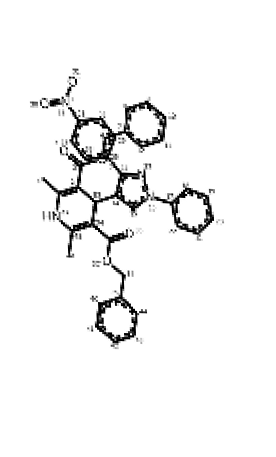 CC1=C(C(=O)OCc2ccccc2)C(c2cn(-c3ccccc3)nc2-c2ccc([N+](=O)[O-])cc2)C(C(=O)OCc2ccccc2)=C(C)N1